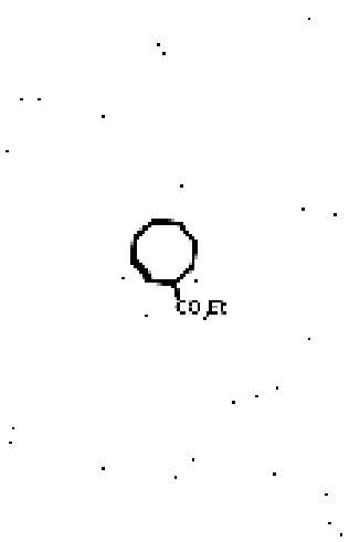 CCOC(=O)C1C=CCCCCC1